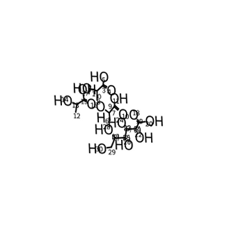 CC(O)C(=O)O.CC(O)C(=O)O.CC(O)C(=O)O.O=C(O)[C@H](O)[C@@H](O)[C@H](O)[C@H](O)CO